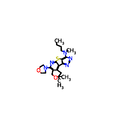 CCCCN(C)c1ncnc2c1sc1nc(N3CCOCC3)c3c(c12)CC(C)(C)OC3